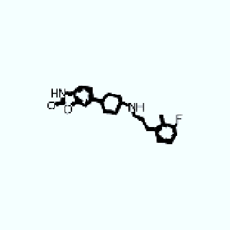 Cc1c(F)cccc1CCCNC1CCC(c2ccc3[nH]c(=O)oc3c2)CC1